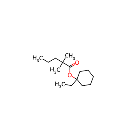 CCCC(C)(C)C(=O)OC1(CC)CCCCC1